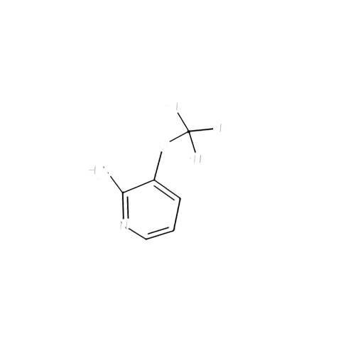 [2H]C([2H])([2H])Oc1cccnc1N